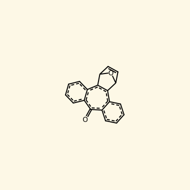 O=c1c2ccccc2c2c(c3ccccc13)C1C=CC2O1